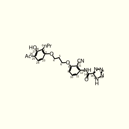 CCCc1c(OCCCOc2cccc(NC(=O)c3nnn[nH]3)c2C#N)ccc(C(C)=O)c1O